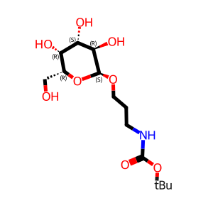 CC(C)(C)OC(=O)NCCCO[C@H]1O[C@H](CO)[C@H](O)[C@H](O)[C@H]1O